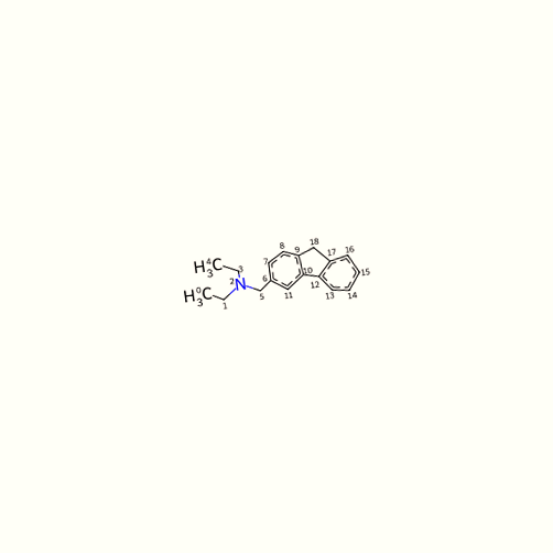 CCN(CC)Cc1ccc2c(c1)-c1ccccc1C2